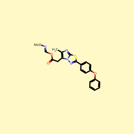 CON=COC(=O)Cc1c(C)nc2sc(-c3ccc(Oc4ccccc4)cc3)nn12